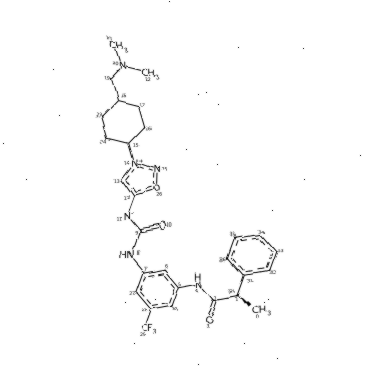 C[C@@H](C(=O)Nc1cc(NC(=O)[N-]c2c[n+](C3CCC(CN(C)C)CC3)no2)cc(C(F)(F)F)c1)c1ccccc1